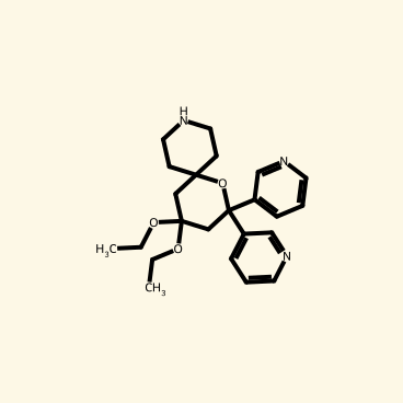 CCOC1(OCC)CC2(CCNCC2)OC(c2cccnc2)(c2cccnc2)C1